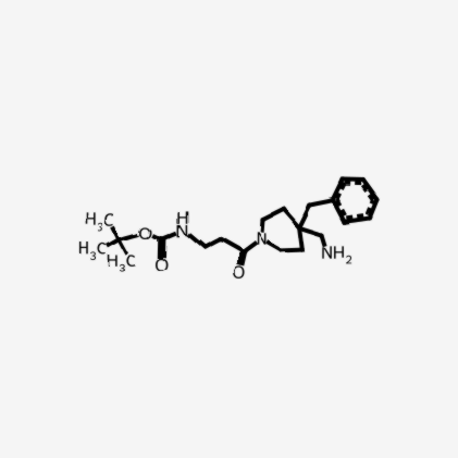 CC(C)(C)OC(=O)NCCC(=O)N1CCC(CN)(Cc2ccccc2)CC1